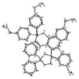 COc1ccc(C2(c3ccc(OC)cc3)C=Cc3c4c(c5ccc(OC)cc5c3O2)-c2ccc(C)cc2C42CCC(c3ccccc3)(c3ccccc3)C2)cc1